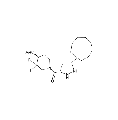 CO[C@H]1CCN(C(=O)C2CC(C3CCCCCCCC3)NN2)CC1(F)F